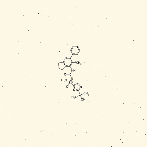 Cc1c(-c2ccccc2)nc2c(c1NC(=O)N=[S@](N)(=O)c1cnc(C(C)(C)O)s1)CCC2